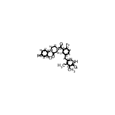 Cc1c(Cc2ccc(F)c(C(=O)N3CCN(c4ccc(F)cc4Cl)C(=O)C3)c2)n[nH]c(=O)c1C